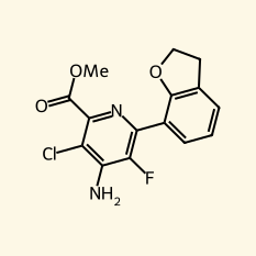 COC(=O)c1nc(-c2cccc3c2OCC3)c(F)c(N)c1Cl